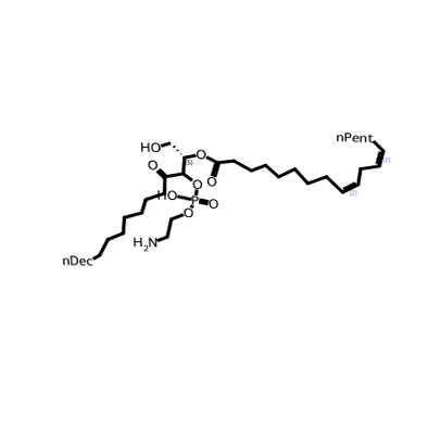 CCCCC/C=C\C/C=C\CCCCCCCC(=O)O[C@@H](CO)C(OP(=O)(O)OCCN)C(=O)CCCCCCCCCCCCCCCCC